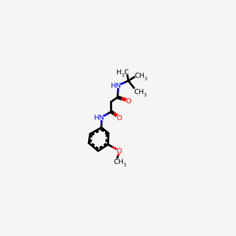 COc1cccc(NC(=O)CC(=O)NC(C)(C)C)c1